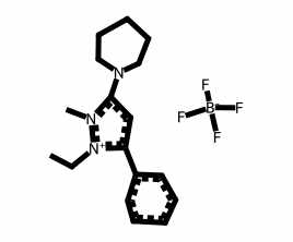 CC[n+]1c(-c2ccccc2)cc(N2CCCCC2)n1C.F[B-](F)(F)F